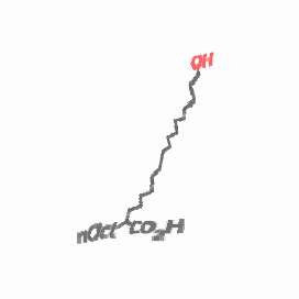 CCCCCCCCC(CCCCCCCCCCCCCCCCO)C(=O)O